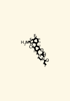 C=CC(=O)N1CCN2Cc3cc(Cl)c(-c4ccc(F)c5sc(N)nc45)cc3OC[C@@H]2C1